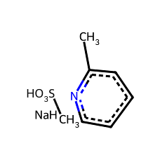 CS(=O)(=O)O.Cc1ccccn1.[NaH]